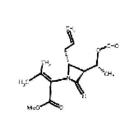 C=CC[C@@H]1[C@@H]([C@@H](C)OC=O)C(=O)N1C(C(=O)OC)=C(C)C